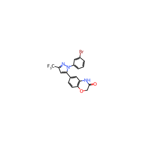 O=C1COc2ccc(-c3cc(C(F)(F)F)nn3-c3cccc(Br)c3)cc2N1